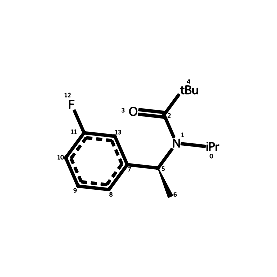 CC(C)N(C(=O)C(C)(C)C)[C@@H](C)c1cccc(F)c1